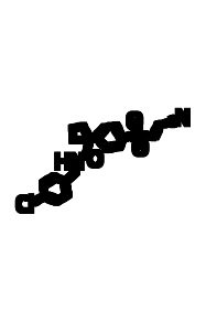 N#C/C=C/S(=O)(=O)c1ccc(C2(C(=O)NCc3ccc(Cl)cc3)CCC2)cc1